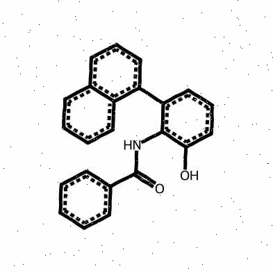 O=C(Nc1c(O)cccc1-c1cccc2ccccc12)c1ccccc1